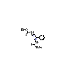 CCOC(=S)N/N=C/C(=N/NC(=S)NC)c1ccccc1